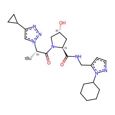 CC(C)(C)[C@@H](C(=O)N1C[C@H](O)C[C@H]1C(=O)NCc1ccnn1C1CCCCC1)n1cc(C2CC2)nn1